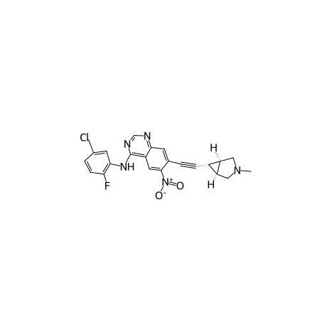 CN1C[C@@H]2[C@@H](C#Cc3cc4ncnc(Nc5cc(Cl)ccc5F)c4cc3[N+](=O)[O-])[C@@H]2C1